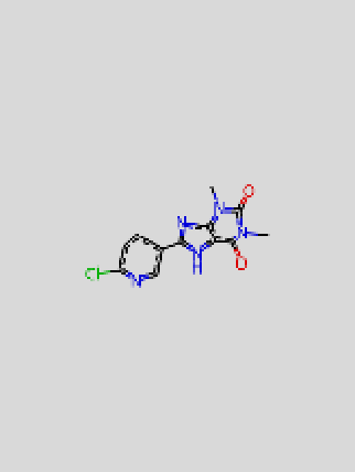 Cn1c(=O)c2[nH]c(-c3ccc(Cl)nc3)nc2n(C)c1=O